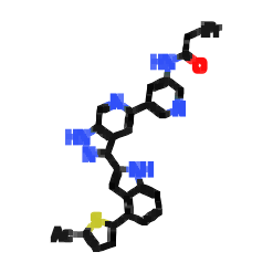 CC(=O)c1ccc(-c2cccc3[nH]c(-c4n[nH]c5cnc(-c6cncc(NC(=O)CC(C)C)c6)cc45)cc23)s1